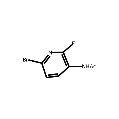 CC(=O)Nc1ccc(Br)nc1F